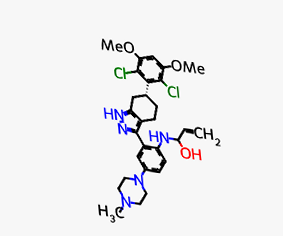 C=CC(O)Nc1ccc(N2CCN(C)CC2)cc1-c1n[nH]c2c1CC[C@@H](c1c(Cl)c(OC)cc(OC)c1Cl)C2